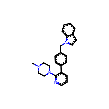 CN1CCN(c2ncccc2-c2ccc(Cn3ccc4ccccc43)cc2)CC1